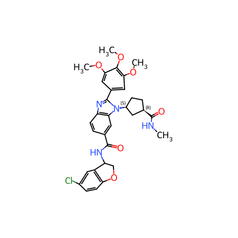 CNC(=O)[C@@H]1CC[C@H](n2c(-c3cc(OC)c(OC)c(OC)c3)nc3ccc(C(=O)NC4COc5ccc(Cl)cc54)cc32)C1